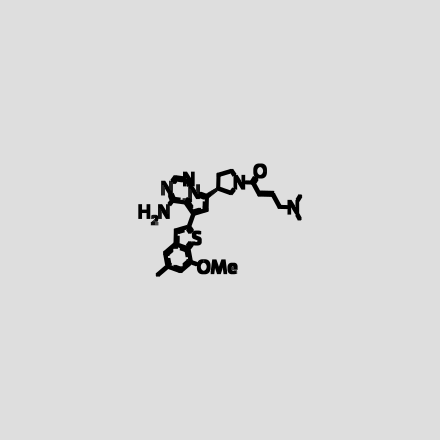 COc1cc(C)cc2cc(-c3cc([C@H]4CCN(C(=O)/C=C/CN(C)C)C4)n4ncnc(N)c34)sc12